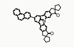 O=C1c2cc3c(cc2CC12CCCC2)c1cc(-c2ccc4c(ccc5ccccc54)c2)cc2c4cc5c(cc4n3c12)C(=O)C1(CCCC1)C5